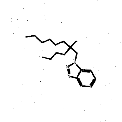 CCCCCCC(C)(CCCC)Cn1nnc2ccccc21